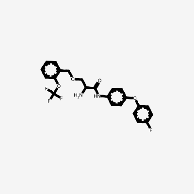 NC(COCc1ccccc1OC(F)(F)F)C(=O)Nc1ccc(Oc2ccc(F)cc2)cc1